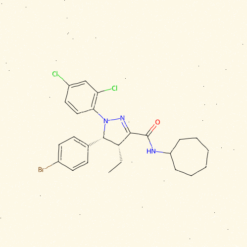 CC[C@H]1C(C(=O)NC2CCCCCC2)=NN(c2ccc(Cl)cc2Cl)[C@H]1c1ccc(Br)cc1